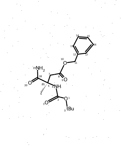 CC(C)(C)OC(=O)N[C@](C)(CC(=O)OCc1ccccc1)C(N)=O